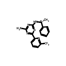 C[C@@H](Nc1nc(N)nc(-c2cccc(C(F)(F)F)n2)n1)c1ccccc1